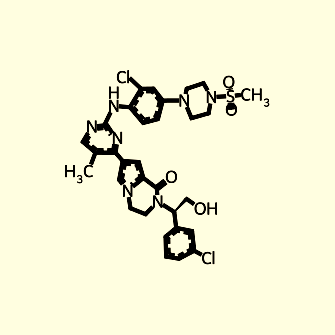 Cc1cnc(Nc2ccc(N3CCN(S(C)(=O)=O)CC3)cc2Cl)nc1-c1cc2n(c1)CCN([C@@H](CO)c1cccc(Cl)c1)C2=O